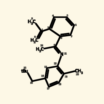 C=C(C)c1ccccc1/C(C)=N/c1cc(CC(C)(C)C)ccc1C